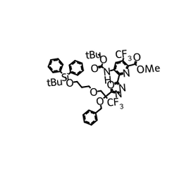 COC(=O)c1nc(-c2nnc(C(COCCCO[Si](c3ccccc3)(c3ccccc3)C(C)(C)C)(OCc3ccccc3)C(F)(F)F)o2)c(NC(=O)OC(C)(C)C)cc1C(F)(F)F